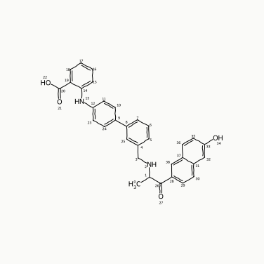 CC(NCc1cccc(-c2ccc(Nc3ccccc3C(=O)O)cc2)c1)C(=O)c1ccc2cc(O)ccc2c1